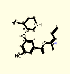 C=C/C=C(/C)SC(=C)c1cc(C#N)cc(O[C@H]2CNCCC2CCC)c1